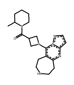 CC1CCCCN1C(=O)C1CN(c2c3c(nc4ccnn24)CCNCC3)C1